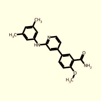 COc1ccc(-c2ccnc(Nc3cc(C)cc(C)c3)c2)cc1C(N)=O